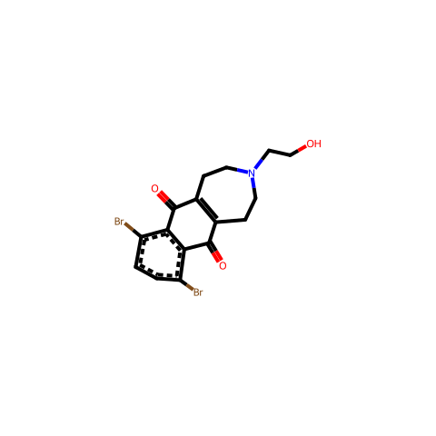 O=C1C2=C(CCN(CCO)CC2)C(=O)c2c(Br)ccc(Br)c21